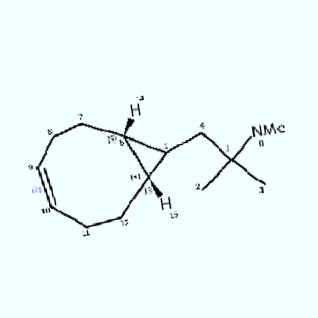 CNC(C)(C)CC1[C@H]2CC/C=C\CC[C@@H]12